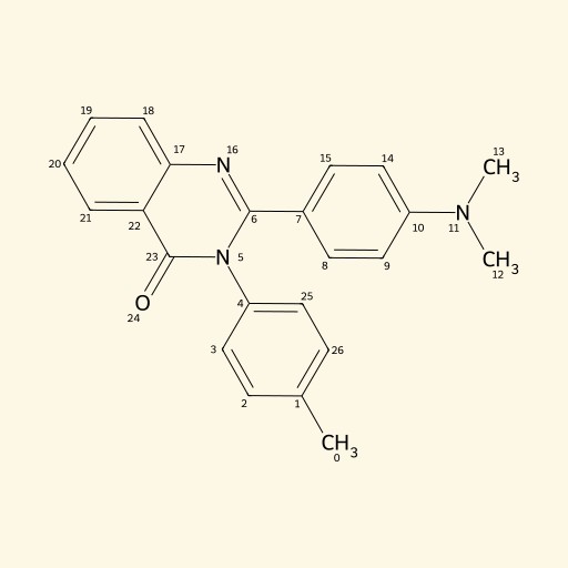 Cc1ccc(-n2c(-c3ccc(N(C)C)cc3)nc3ccccc3c2=O)cc1